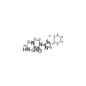 C[C@@H]1CCCC[C@@H]1c1cnc(N2CCN3CCNC[C@@H]3C2=O)s1